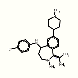 C/C(N)=C1\c2ccc(C3CCN(C)CC3)cc2C(Nc2ccc(Cl)cc2)CCN1N